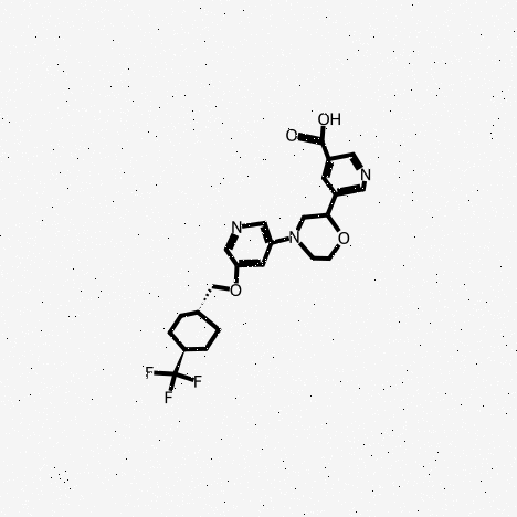 O=C(O)c1cncc(C2CN(c3cncc(OC[C@H]4CC[C@H](C(F)(F)F)CC4)c3)CCO2)c1